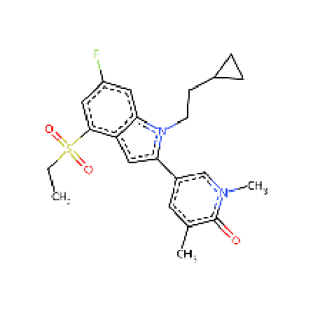 CCS(=O)(=O)c1cc(F)cc2c1cc(-c1cc(C)c(=O)n(C)c1)n2CCC1CC1